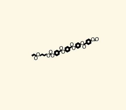 C=CC(=O)OCCCCOC(=O)Oc1ccc(C(=O)Oc2ccc(C(=O)Oc3ccc(OC(=O)c4ccc(OC=O)cc4)cc3)cc2)cc1